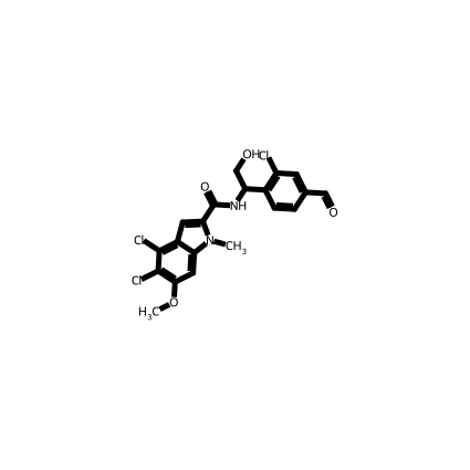 COc1cc2c(cc(C(=O)NC(CO)c3ccc(C=O)cc3Cl)n2C)c(Cl)c1Cl